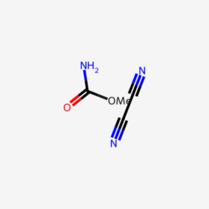 COC(N)=O.N#CC#N